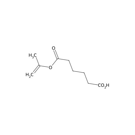 C=C(C)OC(=O)CCCCC(=O)O